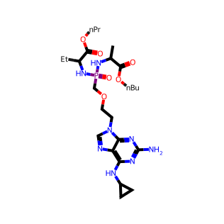 CCCCOC(=O)C(C)NP(=O)(COCCn1cnc2c(NC3CC3)nc(N)nc21)NC(CC)C(=O)OCCC